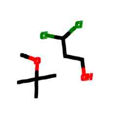 COC(C)(C)C.OCCC(Cl)Cl